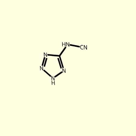 N#CNc1nn[nH]n1